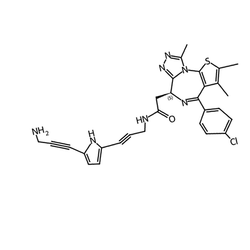 Cc1sc2c(c1C)C(c1ccc(Cl)cc1)=N[C@@H](CC(=O)NCC#Cc1ccc(C#CCN)[nH]1)c1nnc(C)n1-2